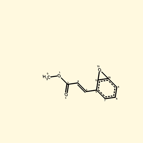 COC(=O)C=Cc1cccc2c1O2